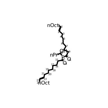 CCCCCCCCC=CCCCCCCCC(=O)P(C(=O)CCCCCCCC=CCCCCCCCC)C(O)CCC